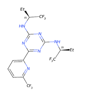 CC[C@H](Nc1nc(N[C@@H](CC)C(F)(F)F)nc(-c2cccc(C(F)(F)F)n2)n1)C(F)(F)F